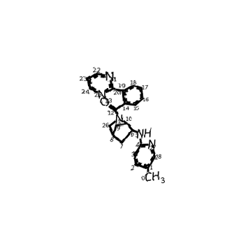 Cc1ccc(NC2CC3CC2N(C(=O)c2ccccc2-c2ncccn2)C3)nc1